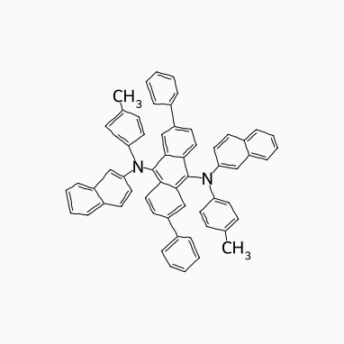 Cc1ccc(N(c2ccc3ccccc3c2)c2c3ccc(-c4ccccc4)cc3c(N(c3ccc(C)cc3)c3ccc4ccccc4c3)c3ccc(-c4ccccc4)cc23)cc1